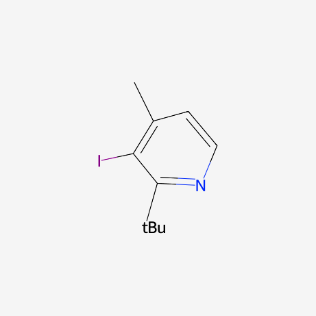 Cc1ccnc(C(C)(C)C)c1I